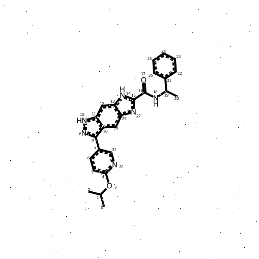 CC(C)Oc1ccc(-c2n[nH]c3cc4[nH]c(C(=O)NC(C)c5ccccc5)nc4cc23)cn1